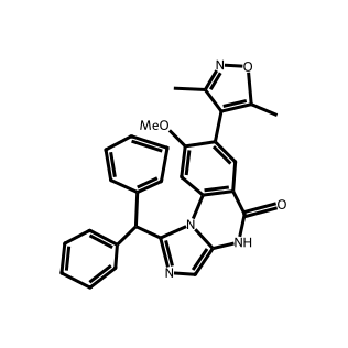 COc1cc2c(cc1-c1c(C)noc1C)c(=O)[nH]c1cnc(C(c3ccccc3)c3ccccc3)n12